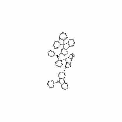 c1ccc(N2c3ccccc3C3(c4cc5c(cc42)C2(c4ccccc4-c4ccccc42)c2ccccc2-5)c2cccnc2-c2ncc(-c4ccc5c(c4)c4ccccc4n5-c4ccccc4)cc23)cc1